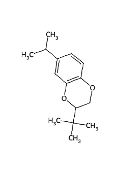 CC(C)c1ccc2c(c1)OC(C(C)(C)C)CO2